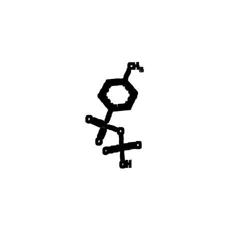 Cc1ccc(S(=O)(=O)OS(=O)(=O)O)cc1